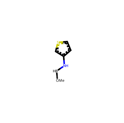 COBNc1ccsc1